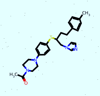 CC(=O)N1CCN(c2ccc(SC(CCc3ccc(C)cc3)Cn3ccnc3)cc2)CC1